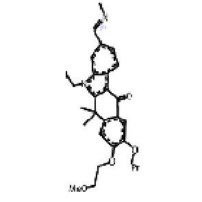 C/N=C/c1ccc2c3c(n(CI)c2c1)C(C)(C)c1cc(OCCOC)c(OC(C)C)cc1C3=O